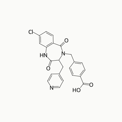 O=C(O)c1ccc(CN2C(=O)c3ccc(Cl)cc3NC(=O)C2Cc2ccncc2)cc1